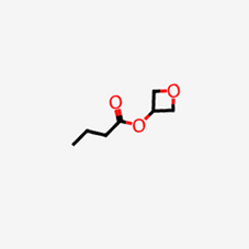 CCCC(=O)OC1COC1